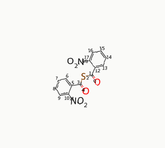 O=C(SC(=O)c1ccccc1[N+](=O)[O-])c1ccccc1[N+](=O)[O-]